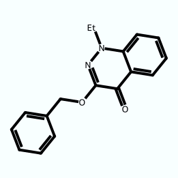 CCn1nc(OCc2ccccc2)c(=O)c2ccccc21